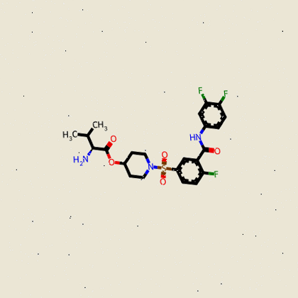 CC(C)[C@H](N)C(=O)OC1CCN(S(=O)(=O)c2ccc(F)c(C(=O)Nc3ccc(F)c(F)c3)c2)CC1